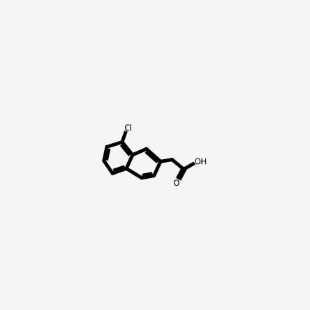 O=C(O)Cc1ccc2cccc(Cl)c2c1